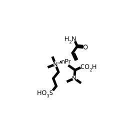 C=CC(N)=O.CC(C(=O)O)N(C)C.CCC[N+](C)(C)CCCS(=O)(=O)O